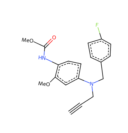 C#CCN(Cc1ccc(F)cc1)c1ccc(NC(=O)OC)c(OC)c1